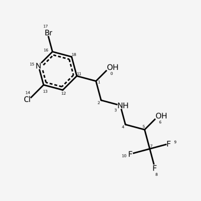 OC(CNCC(O)C(F)(F)F)c1cc(Cl)nc(Br)c1